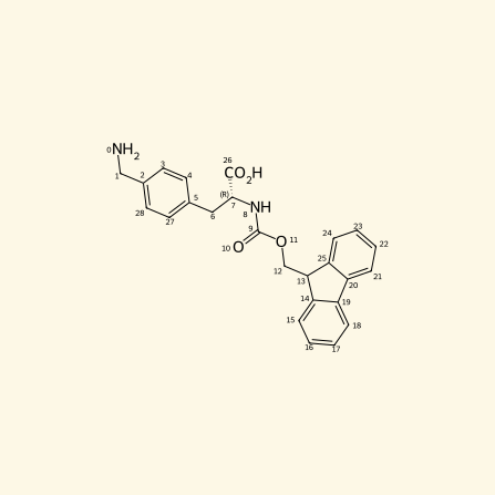 NCc1ccc(C[C@@H](NC(=O)OCC2c3ccccc3-c3ccccc32)C(=O)O)cc1